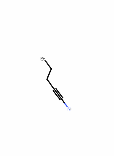 CCCCC#C[N]